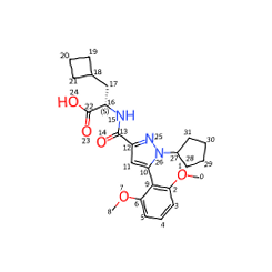 COc1cccc(OC)c1-c1cc(C(=O)N[C@@H](CC2CCC2)C(=O)O)nn1C1CCCC1